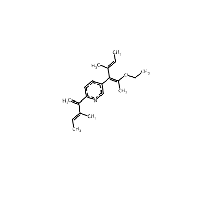 C=C(/C(C)=C/C)c1ccc(C(/C(C)=C/C)=C(\C)OCC)cn1